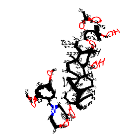 COc1ccc(CN2CCO[C@@H](O[C@H]3CC[C@]45C[C@]46CC[C@]4(C)C7[C@H](C)C[C@H]([C@H](OC(C)=O)C(C)(C)O)O[C@@H]7[C@H](O)[C@@]4(C)[C@@H]6CC[C@H]5C3(C)C)C2)c(OC)c1